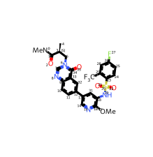 CNC(=O)[C@@H](C)Cn1cnc2ccc(-c3cnc(OC)c(NS(=O)(=O)c4ccc(F)cc4C(F)(F)F)c3)cc2c1=O